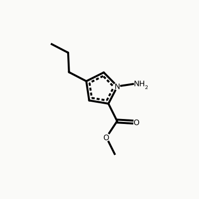 CCCc1cc(C(=O)OC)n(N)c1